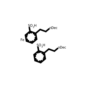 CCCCCCCCCCCCc1ccccc1S(=O)(=O)O.CCCCCCCCCCCCc1ccccc1S(=O)(=O)O.[Fe]